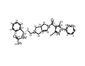 Cc1nn(-c2cccnn2)c(C)c1C(=O)N1C=C2CN(CC[C@H](NC(=O)C(C)C)c3ccccc3)CC2C1